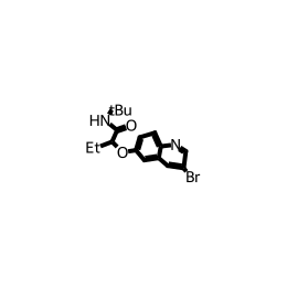 CCC(Oc1ccc2ncc(Br)cc2c1)C(=O)NC(C)(C)C